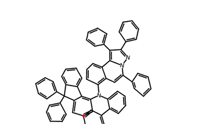 c1ccc(-c2ccccc2N(c2cccc3c2-c2ccccc2C3(c2ccccc2)c2ccccc2)c2cccc3c2cc(-c2ccccc2)n2nc(-c4ccccc4)c(-c4ccccc4)c32)cc1